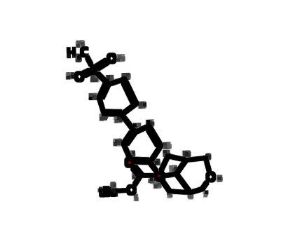 CC(C)(C)OC(=O)N1CC2COCC(C1)C2Oc1ccc(-c2ccc(S(C)(=O)=O)cc2)cc1